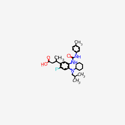 Cc1ccc(NC(=O)Nc2cc(C(C)CC(=O)O)c(F)cc2N(CC(C)C)C2CCCCC2)cc1